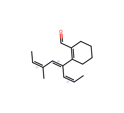 C\C=C/C(=C\C(C)=C/C)C1=C(C=O)CCCC1